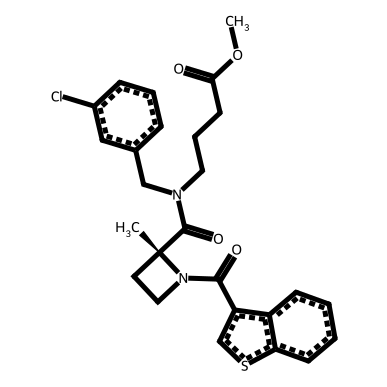 COC(=O)CCCN(Cc1cccc(Cl)c1)C(=O)[C@@]1(C)CCN1C(=O)c1csc2ccccc12